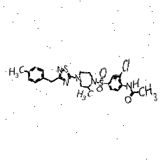 CC(=O)Nc1ccc(S(=O)(=O)N2CCN(c3nc(Cc4ccc(C)cc4)ns3)CC2C)cc1Cl